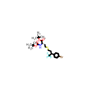 CC(C)(C)OC(=O)N[C@@H](CCSCCC(c1ccc(Br)cc1)C(F)(F)F)C(=O)OC(C)(C)C